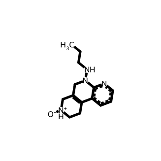 CCCNN1CC2=C(CC[NH+]([O-])C2)c2cccnc21